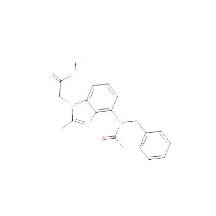 CCCc1nc2c(N(Cc3ccccc3)C(=O)C(C)C)cccc2n1CC(=O)OC(C)(C)C